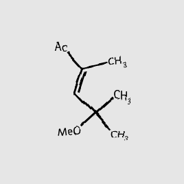 COC(C)(C)C=C(C)C(C)=O